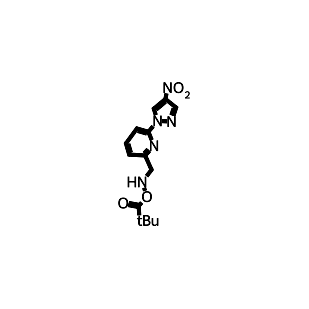 CC(C)(C)C(=O)ONCc1cccc(-n2cc([N+](=O)[O-])cn2)n1